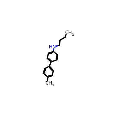 CCCCNc1ccc(-c2ccc(C)cc2)cc1